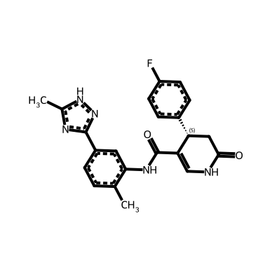 Cc1nc(-c2ccc(C)c(NC(=O)C3=CNC(=O)C[C@H]3c3ccc(F)cc3)c2)n[nH]1